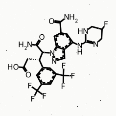 NC(=O)c1cc(NC2=NCC(F)CN2)c2cnn(C(C(N)=O)[C@@H](CC(=O)O)c3cc(C(F)(F)F)cc(C(F)(F)F)c3)c2c1